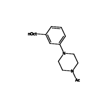 CCCCCCCCc1cccc(N2CCN(C(C)=O)CC2)c1